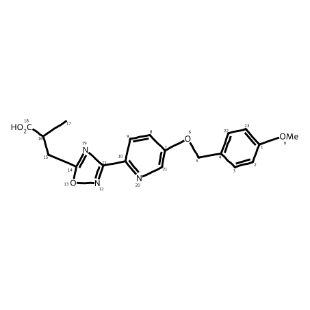 COc1ccc(COc2ccc(-c3noc(CC(C)C(=O)O)n3)nc2)cc1